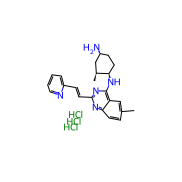 Cc1ccc2nc(/C=C/c3ccccn3)nc(N[C@@H]3CC[C@H](N)C[C@@H]3C)c2c1.Cl.Cl.Cl